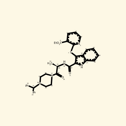 CCOC(=O)c1cccnc1Sc1c(C(=O)N[C@H](C)C(=O)N2CCN(C(C(C)C)C(C)C)CC2)[nH]c2ccccc12